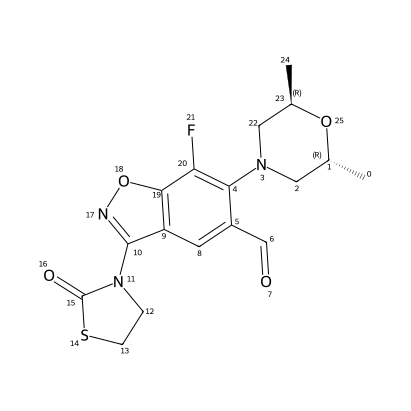 C[C@@H]1CN(c2c(C=O)cc3c(N4CCSC4=O)noc3c2F)C[C@@H](C)O1